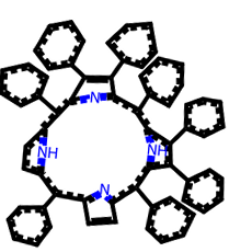 C1=Cc2nc1c(-c1ccccc1)c1ccc([nH]1)c(-c1ccccc1)c1nc(c(-c3ccccc3)c3[nH]c(c2-c2ccccc2)c(-c2ccccc2)c3-c2ccccc2)C(c2ccccc2)=C1c1ccccc1